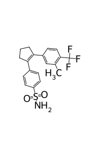 Cc1cc(C2=C(c3ccc(S(N)(=O)=O)cc3)CCC2)ccc1C(F)(F)F